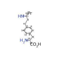 CC(C)C(=N)CCc1ccc(CC(N)C(=O)O)cc1